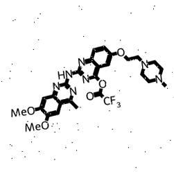 COc1cc2nc(Nc3nc(OC(=O)C(F)(F)F)c4cc(OCCN5CCN(C)CC5)ccc4n3)nc(C)c2cc1OC